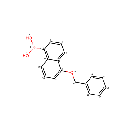 OB(O)c1cccc2c(OCc3ccccc3)cccc12